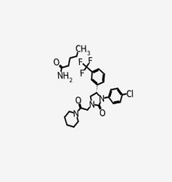 CCCCC(N)=O.O=C(CN1C[C@H](c2cccc(C(F)(F)F)c2)N(c2ccc(Cl)cc2)C1=O)N1CCCCC1